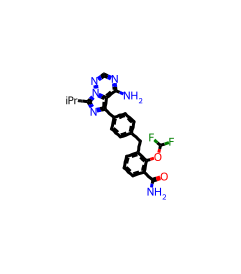 CC(C)c1nc(-c2ccc(Cc3cccc(C(N)=O)c3OC(F)F)cc2)c2c(N)ncnn12